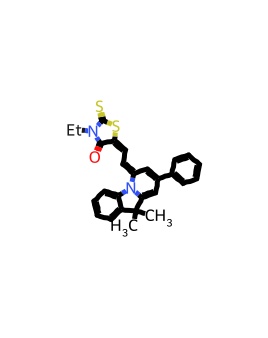 CCN1C(=O)C(=CC=C2C=C(c3ccccc3)C=C3N2c2ccccc2C3(C)C)SC1=S